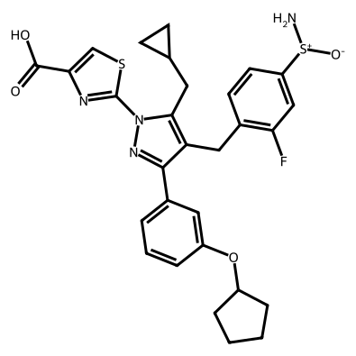 N[S+]([O-])c1ccc(Cc2c(-c3cccc(OC4CCCC4)c3)nn(-c3nc(C(=O)O)cs3)c2CC2CC2)c(F)c1